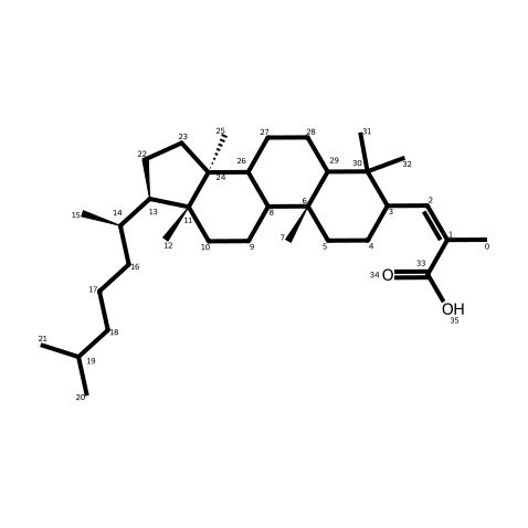 CC(=CC1CC[C@]2(C)C3CC[C@]4(C)[C@@H]([C@H](C)CCCC(C)C)CC[C@@]4(C)C3CCC2C1(C)C)C(=O)O